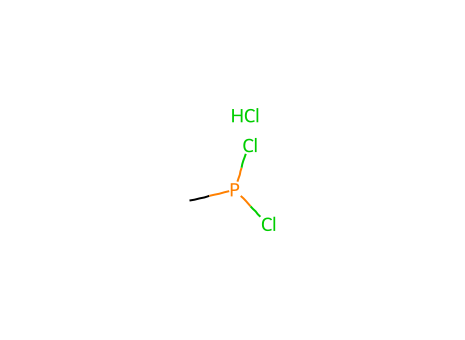 CP(Cl)Cl.Cl